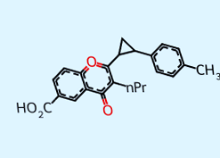 CCCc1c(C2CC2c2ccc(C)cc2)oc2ccc(C(=O)O)cc2c1=O